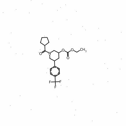 CCOC(=O)OC1CC(c2ccc(C(F)(F)F)cc2)CN(C(=O)C2CCCC2)C1